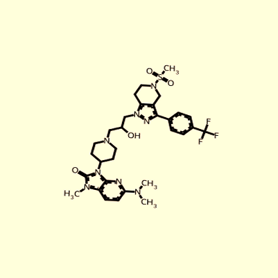 CN(C)c1ccc2c(n1)n(C1CCN(CC(O)Cn3nc(-c4ccc(C(F)(F)F)cc4)c4c3CCN(S(C)(=O)=O)C4)CC1)c(=O)n2C